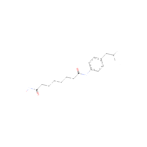 O=C(CCCCCCC(=O)Nc1ccc(CC(C(=O)O)C(=O)O)cc1)NO